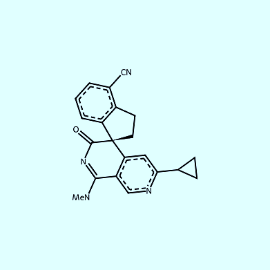 CNC1=NC(=O)[C@@]2(CCc3c(C#N)cccc32)c2cc(C3CC3)ncc21